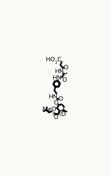 CO[C@@H]1[C@H](OC(=O)NCCc2ccc(NC(=O)[C@H](C)NC(=O)CCC(=O)O)cc2)CC[C@]2(CO2)[C@H]1[C@@]1(C)O[C@@H]1CC=C(C)C